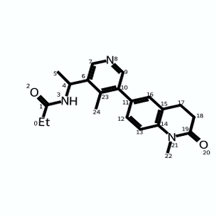 CCC(=O)NC(C)c1cncc(-c2ccc3c(c2)CCC(=O)N3C)c1C